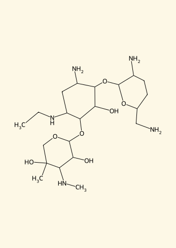 CCNC1CC(N)C(OC2OC(CN)CCC2N)C(O)C1OC1OCC(C)(O)C(NC)C1O